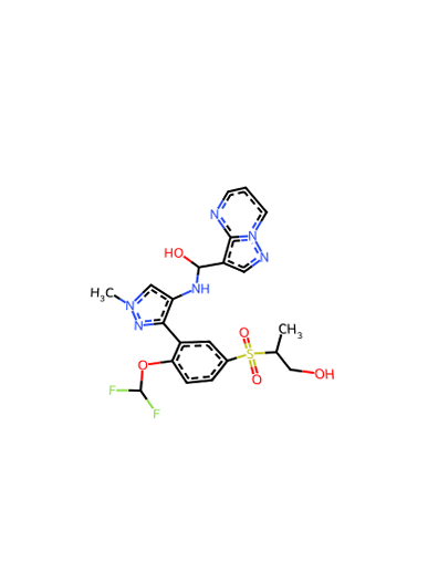 CC(CO)S(=O)(=O)c1ccc(OC(F)F)c(-c2nn(C)cc2NC(O)c2cnn3cccnc23)c1